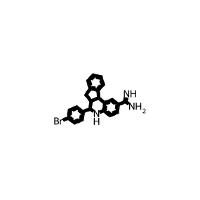 N=C(N)c1ccc2c(c1)C1c3ccccc3CC1C(c1ccc(Br)cc1)N2